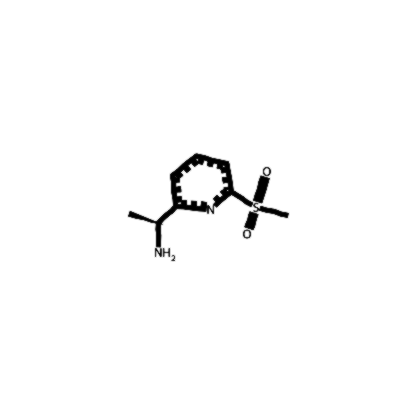 C[C@H](N)c1cccc(S(C)(=O)=O)n1